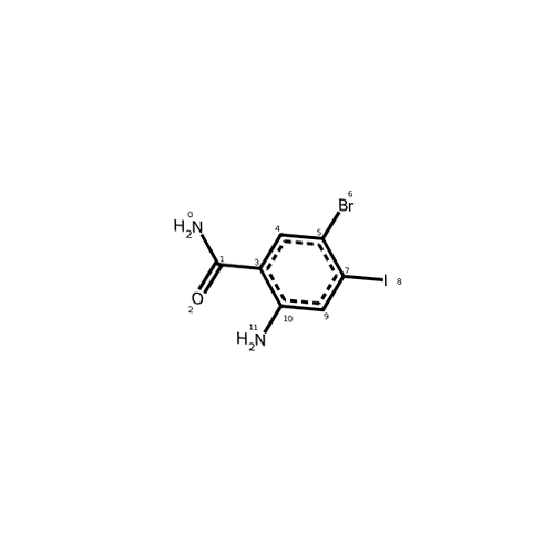 NC(=O)c1cc(Br)c(I)cc1N